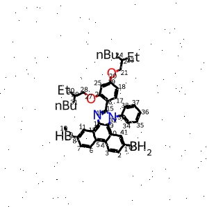 Bc1ccc2c3ccc(BC)cc3c3nc(-c4ccc(OCC(CC)CCCC)cc4OCC(CC)CCCC)n(-c4ccccc4)c3c2c1